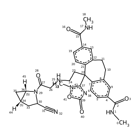 CNC(=O)c1ccc2c(c1)CCc1cc(C(=O)NC)ccc1C2(CCNCC(=O)N1C(C#N)C[C@@H]2C[C@@H]21)c1nc(=O)on1C